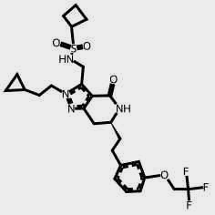 O=C1N[C@@H](CCc2cccc(OCC(F)(F)F)c2)Cc2nn(CCC3CC3)c(CNS(=O)(=O)C3CCC3)c21